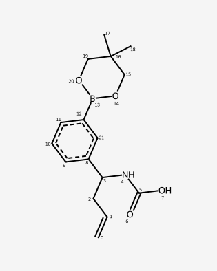 C=CCC(NC(=O)O)c1cccc(B2OCC(C)(C)CO2)c1